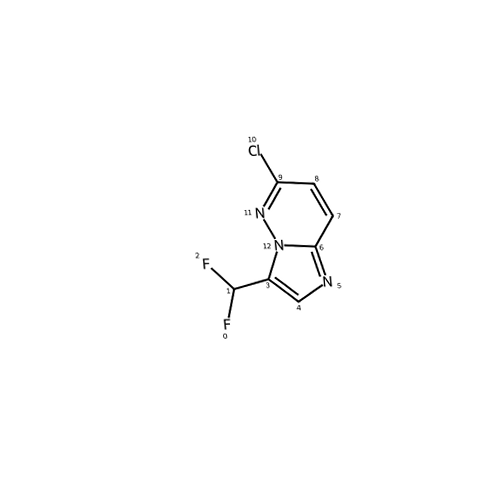 FC(F)c1cnc2ccc(Cl)nn12